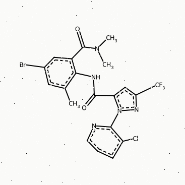 Cc1cc(Br)cc(C(=O)N(C)C)c1NC(=O)c1cc(C(F)(F)F)nn1-c1ncccc1Cl